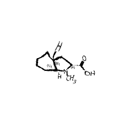 CN1[C@@H](C(=O)O)C[C@H]2CCCC[C@@H]21